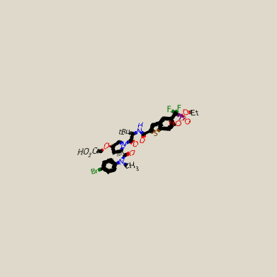 CCOP(=O)(O)C(F)(F)c1ccc2sc(C(=O)NC(C(=O)N3C[C@H](OCC(=O)O)C[C@H]3C(=O)N(C)c3ccc(Br)cc3)C(C)(C)C)cc2c1